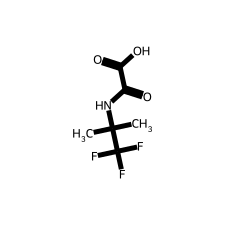 CC(C)(NC(=O)C(=O)O)C(F)(F)F